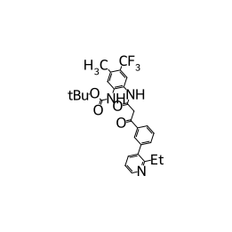 CCc1ncccc1-c1cccc(C(=O)CC(=O)Nc2cc(C(F)(F)F)c(C)cc2NC(=O)OC(C)(C)C)c1